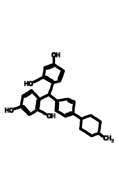 CC1CCC(c2ccc(C(c3ccc(O)cc3O)c3ccc(O)cc3O)cc2)CC1